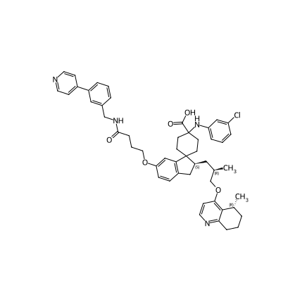 C[C@@H](COc1ccnc2c1[C@H](C)CCC2)C[C@H]1Cc2ccc(OCCCC(=O)NCc3cccc(-c4ccncc4)c3)cc2C12CCC(Nc1cccc(Cl)c1)(C(=O)O)CC2